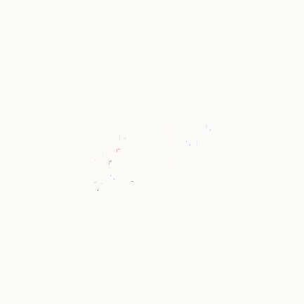 CC(C)(C)OC(=O)N1[C@@H]2C[C@H](Oc3ccc(S(=O)(=O)Nc4cscn4)cc3Cl)C[C@H]1C2